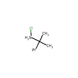 CC(C)C(C)(C)[SiH2]Cl